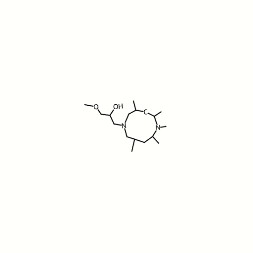 COCC(O)CN1CC(C)CC(C)N(C)C(C)CC(C)C1